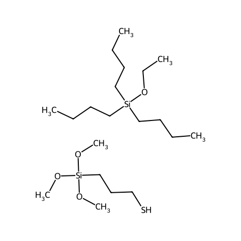 CCCC[Si](CCCC)(CCCC)OCC.CO[Si](CCCS)(OC)OC